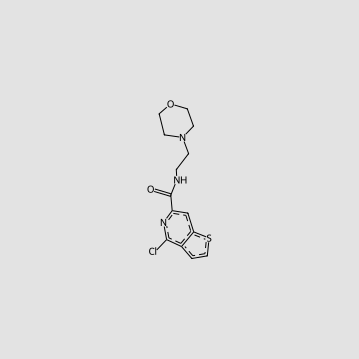 O=C(NCCN1CCOCC1)c1cc2sccc2c(Cl)n1